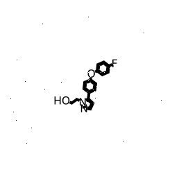 OCCn1nccc1-c1ccc(Oc2ccc(F)cc2)cc1